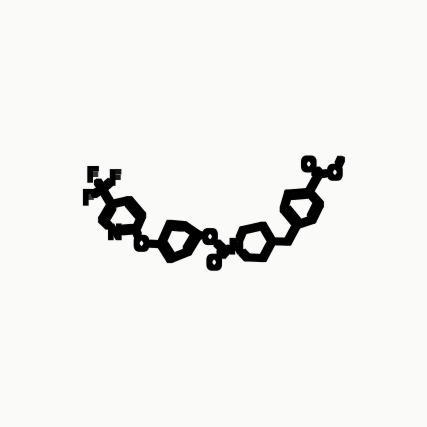 COC(=O)c1ccc(CC2CCN(C(=O)Oc3ccc(Oc4ccc(C(F)(F)F)cn4)cc3)CC2)cc1